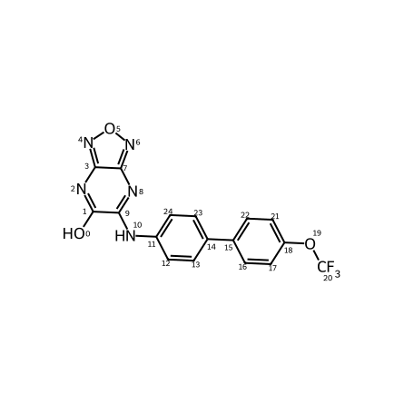 Oc1nc2nonc2nc1Nc1ccc(-c2ccc(OC(F)(F)F)cc2)cc1